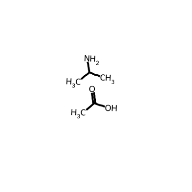 CC(=O)O.CC(C)N